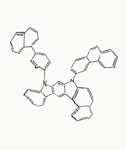 c1ccc2c(-c3ccc(-n4c5ccccc5c5cc6c7c8ccccc8ccc7n(-c7ccc8ccc9ccccc9c8c7)c6cc54)cc3)cccc2c1